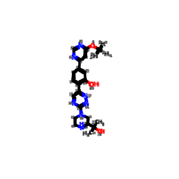 [2H]C([2H])([2H])Oc1cc(-c2ccc(-c3cnc(N4CCNC(C(C)(C)O)C4)nn3)c(O)c2)ncn1